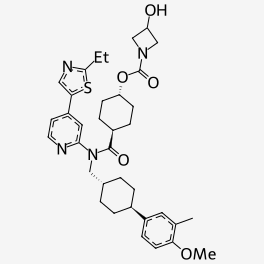 CCc1ncc(-c2ccnc(N(C[C@H]3CC[C@H](c4ccc(OC)c(C)c4)CC3)C(=O)[C@H]3CC[C@H](OC(=O)N4CC(O)C4)CC3)c2)s1